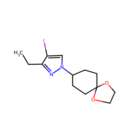 CCc1nn(C2CCC3(CC2)OCCO3)cc1I